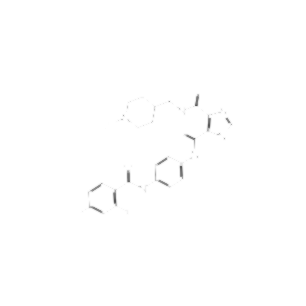 CN1CCC(CNC(=O)c2nc[nH]c2C(=O)Nc2ccc(NC(=O)c3ccc(F)cc3Cl)cc2)CC1